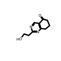 O=C1CCCc2nc(CCO)ncc21